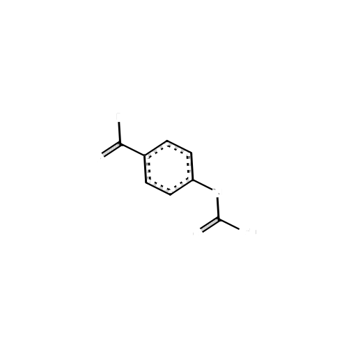 CCC(=O)c1ccc(NC(=O)C(C)(C)C)cc1